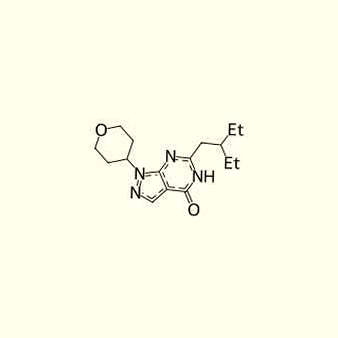 CCC(CC)Cc1nc2c(cnn2C2CCOCC2)c(=O)[nH]1